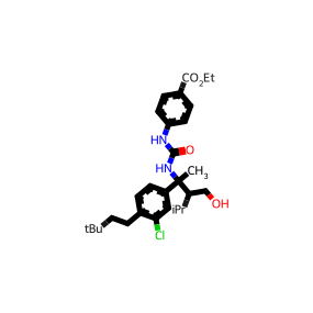 CCOC(=O)c1ccc(NC(=O)NC(C)(c2ccc(CCC(C)(C)C)c(Cl)c2)C(CO)C(C)C)cc1